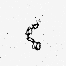 Cc1cccc(-c2ncnc(-c3ccc4oc5ccccc5c4c3)n2)c1